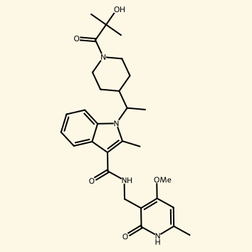 COc1cc(C)[nH]c(=O)c1CNC(=O)c1c(C)n(C(C)C2CCN(C(=O)C(C)(C)O)CC2)c2ccccc12